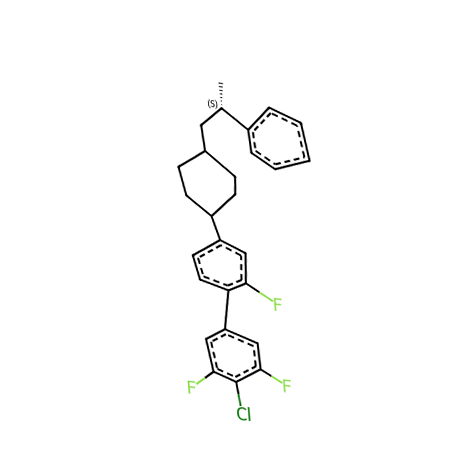 C[C@@H](CC1CCC(c2ccc(-c3cc(F)c(Cl)c(F)c3)c(F)c2)CC1)c1ccccc1